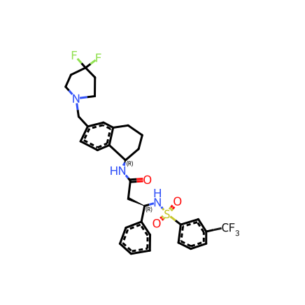 O=C(C[C@@H](NS(=O)(=O)c1cccc(C(F)(F)F)c1)c1ccccc1)N[C@@H]1CCCc2cc(CN3CCC(F)(F)CC3)ccc21